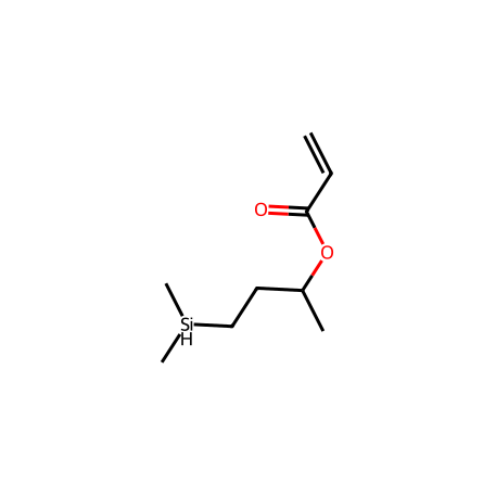 C=CC(=O)OC(C)CC[SiH](C)C